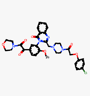 CC(C)Oc1ccc(C(=O)C(=O)N2CCOCC2)cc1-n1c(CN2CCN(C(=O)COc3ccc(Cl)cc3)CC2)nc2ccccc2c1=O